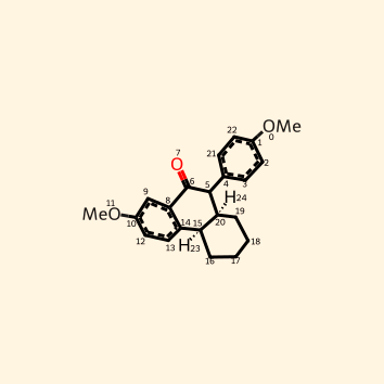 COc1ccc(C2C(=O)c3cc(OC)ccc3[C@@H]3CCCC[C@H]23)cc1